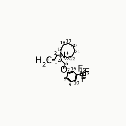 C=CC[N+]1(CCOc2cccc(C(F)(F)F)c2)CCCCCCC1